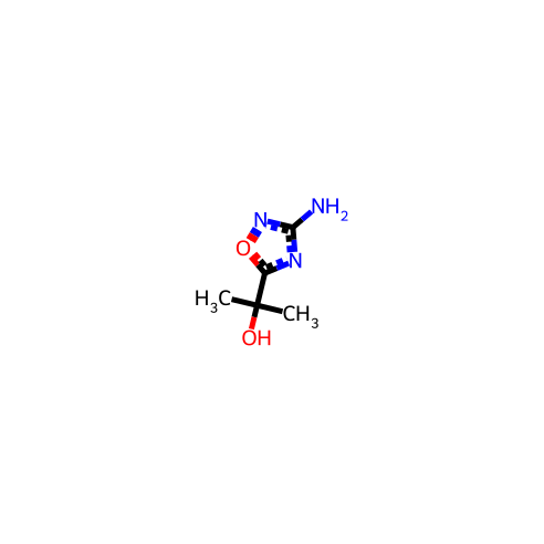 CC(C)(O)c1nc(N)no1